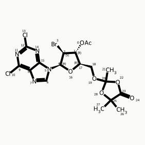 CC(=O)O[C@H]1[C@H](Br)[C@H](n2cnc3c(Cl)nc(Cl)nc32)O[C@@H]1COC1(C)OC(=O)C(C)(C)O1